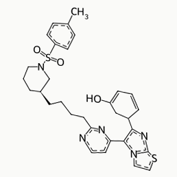 Cc1ccc(S(=O)(=O)N2CCC[C@H](CCCCc3nccc(-c4c(C5C=CC=C(O)C5)nc5sccn45)n3)C2)cc1